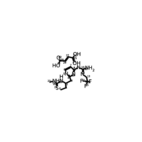 CCC(Cc1nccc(NC(N)=NCC(F)(F)F)n1)NC(=S)NC.O=C(O)C=CC(=O)O